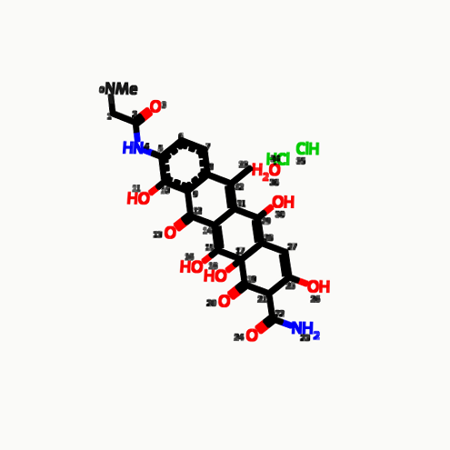 CNCC(=O)Nc1ccc2c(c1O)C(=O)C1=C(O)C3(O)C(=O)C(C(N)=O)C(O)=CC3=C(O)C1=C2C.Cl.Cl.O